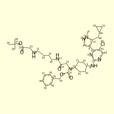 Cn1ncc(-c2nc(NC3CCC(N(CC(=O)NCCCCNCC(=O)OC(C)(C)C)C(=O)OCc4ccccc4)CC3)ncc2Cl)c1CC1CC1